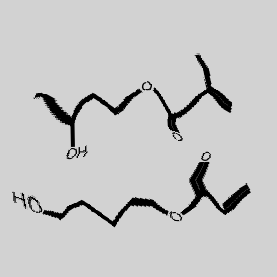 C=C(C)C(=O)OCCC(C)O.C=CC(=O)OCCCCO